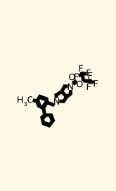 Cc1ccc(CN2CC3CN(C(=O)OC(C(F)(F)F)C(F)(F)F)CC3C2)c(-c2ccccc2)c1